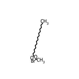 CCCCCCCCCCCCCCCCCC(=O)OC(C)Br